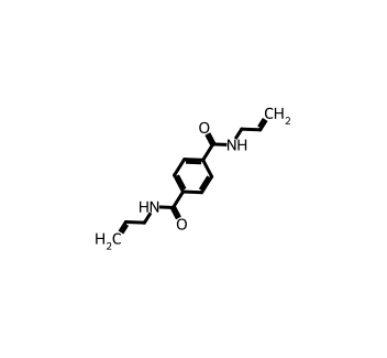 C=CCNC(=O)c1ccc(C(=O)NCC=C)cc1